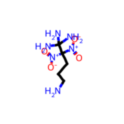 NCCCC([N+](=O)[O-])([N+](=O)[O-])C(N)(N)N